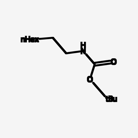 [CH2]CCCCCCCNC(=O)OC(C)(C)C